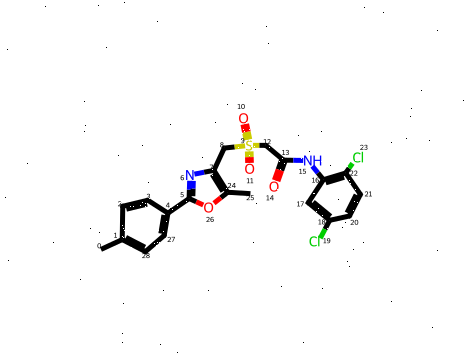 Cc1ccc(-c2nc(CS(=O)(=O)CC(=O)Nc3cc(Cl)ccc3Cl)c(C)o2)cc1